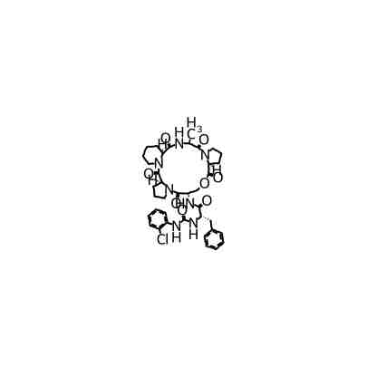 C[C@@H]1NC(=O)[C@@H]2CCCCN2C(=O)[C@@H]2CCCN2C(=O)[C@@H](NC(=O)[C@H](Cc2ccccc2)NC(=O)Nc2ccccc2Cl)COC(=O)[C@@H]2CCCN2C1=O